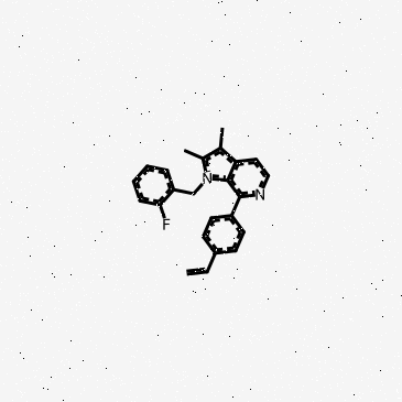 C=Cc1ccc(-c2nccc3c(C)c(C)n(Cc4ccccc4F)c23)cc1